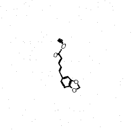 C#COC(=O)C=CC=Cc1ccc2c(c1)OCO2